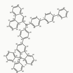 c1ccc(-c2ccc(-c3ccc(N(c4ccc(-c5ccc6c(c5)-c5ccccc5[Si]6(c5ccccc5)c5ccccc5)cc4)c4cc5ccccc5c5ccccc45)cc3)cc2)cc1